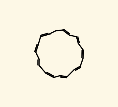 [C]1=C/C=C/C=C/C=C\C=C\C=C\C=C/C=C/C=C/C/1